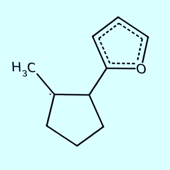 C[C]1CCCC1c1ccco1